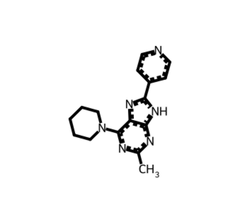 Cc1nc(N2CCCCC2)c2nc(-c3ccncc3)[nH]c2n1